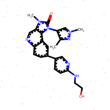 Cc1nn(C)cc1-n1c(=O)n(C)c2cnc3ccc(-c4ccc(NCCO)nc4)cc3c21